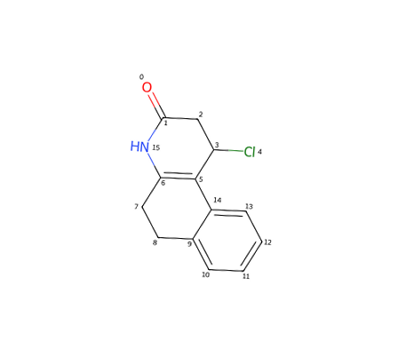 O=C1CC(Cl)C2=C(CCc3ccccc32)N1